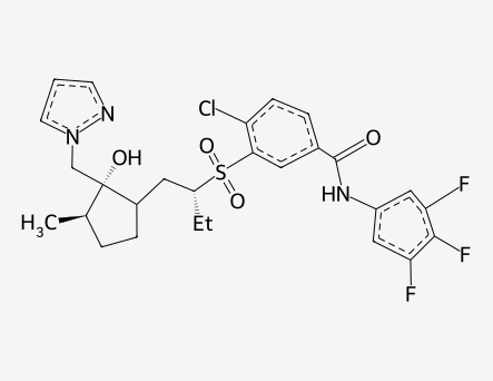 CC[C@H](CC1CC[C@@H](C)[C@@]1(O)Cn1cccn1)S(=O)(=O)c1cc(C(=O)Nc2cc(F)c(F)c(F)c2)ccc1Cl